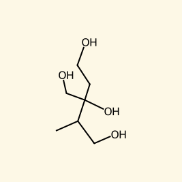 CC(CO)C(O)(CO)CCO